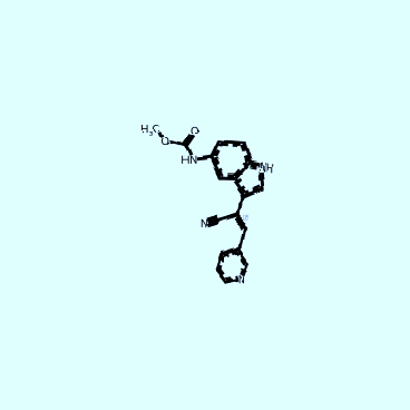 COC(=O)Nc1ccc2[nH]cc(/C(C#N)=C/c3cccnc3)c2c1